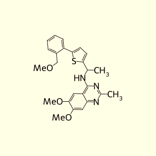 COCc1ccccc1-c1ccc(C(C)Nc2nc(C)nc3cc(OC)c(OC)cc23)s1